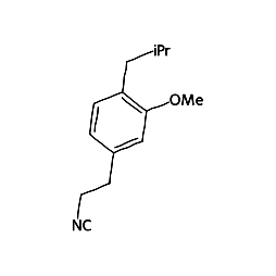 [C-]#[N+]CCc1ccc(CC(C)C)c(OC)c1